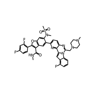 CNC(=O)c1c(-c2ccc(F)cc2F)oc2cc(N(C)S(C)(=O)=O)c(-c3ccc4nc(CN5CCN(C)CC5)n5c6cccc(F)c6cc5c4n3)cc12